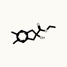 CCOC(=O)C1(O)Cc2cc(C)c(C)cc2C1